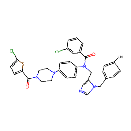 N#Cc1ccc(Cn2cncc2CN(C(=O)c2cccc(Cl)c2)c2ccc(N3CCN(C(=O)c4ccc(Cl)s4)CC3)cc2)cc1